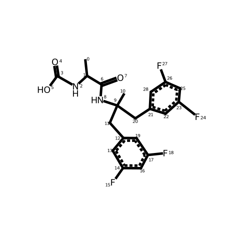 CC(NC(=O)O)C(=O)NC(C)(Cc1cc(F)cc(F)c1)Cc1cc(F)cc(F)c1